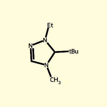 CCN1N=CN(C)C1C(C)(C)C